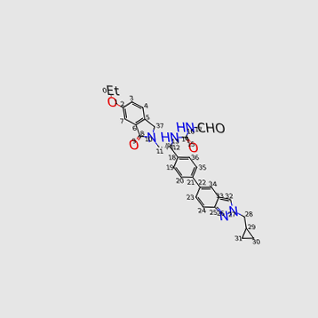 CCOc1ccc2c(c1)C(=O)N(C[C@H](NC(=O)NC=O)c1ccc(-c3ccc4nn(CC5CC5)cc4c3)cc1)C2